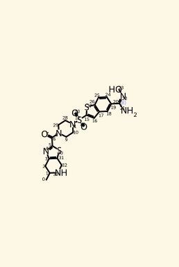 CC1Cc2nc(C(=O)N3CCN(S(=O)(=O)c4cc5cc(/C(N)=N\O)ccc5s4)CC3)sc2CN1